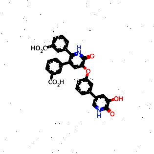 O=C(O)c1cccc(-c2cc(Oc3cccc(-c4c[nH]c(=O)c(O)c4)c3)c(=O)[nH]c2-c2cccc(C(=O)O)c2)c1